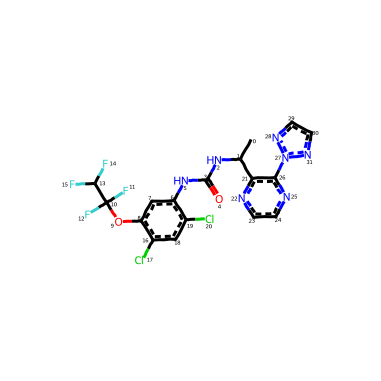 CC(NC(=O)Nc1cc(OC(F)(F)C(F)F)c(Cl)cc1Cl)c1nccnc1-n1nccn1